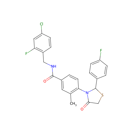 Cc1cc(C(=O)NCc2ccc(Cl)cc2F)ccc1N1C(=O)CSC1c1ccc(F)cc1